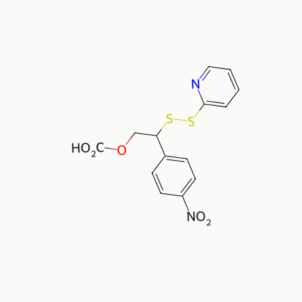 O=C(O)OCC(SSc1ccccn1)c1ccc([N+](=O)[O-])cc1